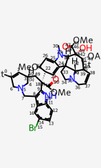 CCC1=C[C@H]2CN(C1)Cc1c([nH]c3ccc(Br)cc13)[C@@](C(=O)OC)(C1C=C3C(=CC1OC)N(C)[C@@H]1C34CCN3CC=C[C@](CC)([C@H]34)[C@@H](OC(C)=O)[C@]1(O)C(=O)OC)C2